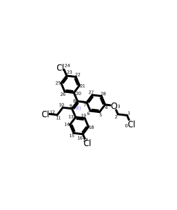 ClCCOc1ccc(/C(=C(/CCCl)c2ccc(Cl)cc2)c2ccc(Cl)cc2)cc1